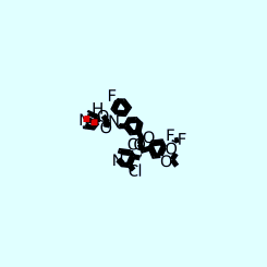 CC(C)Oc1cc([C@H](Cc2c(Cl)cncc2Cl)OC(=O)c2cccc(CN(C(=O)O[C@H]3CN4CCC3CC4)c3cccc(F)c3)c2)ccc1OC(F)F